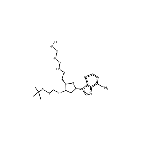 CC(C)(C)SSCOC1C[C@H](n2cnc3c(N)ncnc32)O[C@@H]1COPOPOPO